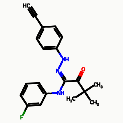 C#Cc1ccc(N/N=C(/Nc2cccc(F)c2)C(=O)C(C)(C)C)cc1